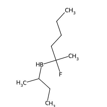 CCCCC(C)(F)BC(C)CC